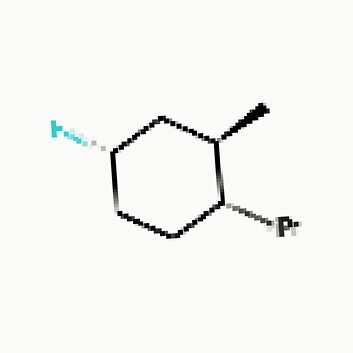 CC(C)[C@@H]1CC[C@H](F)C[C@H]1C